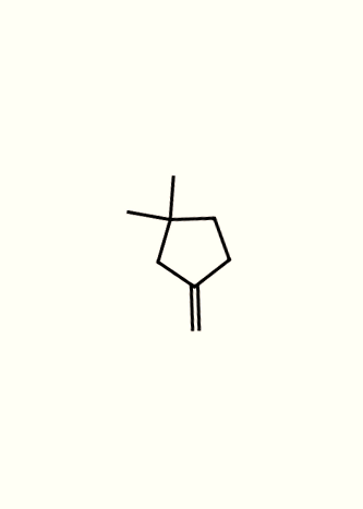 C=C1CCC(C)(C)C1